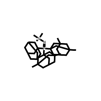 CC12CC3CC(C)(C1)CC(P(=N[Si](C)(C)C)(C14CC5CC(CC(C5)C1)C4)C14CC5CC(C)(CC(C)(C5)C1)C4)(C3)C2